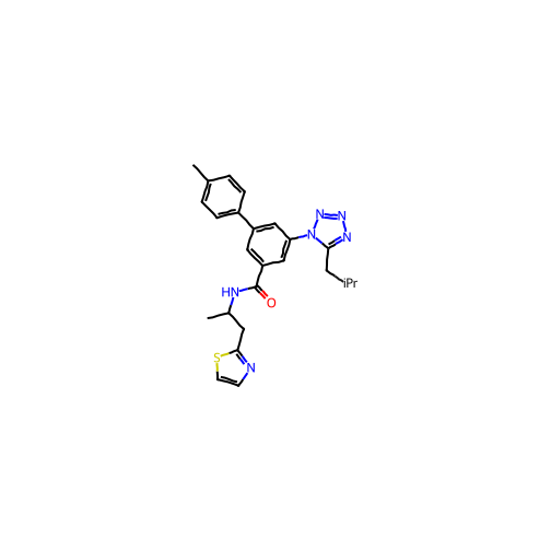 Cc1ccc(-c2cc(C(=O)NC(C)Cc3nccs3)cc(-n3nnnc3CC(C)C)c2)cc1